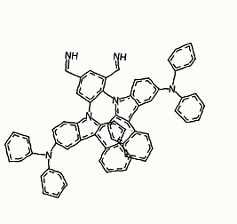 N=Cc1cc(C=N)c(-n2c3ccc(N(c4ccccc4)c4ccccc4)cc3c3c4ccccc4ccc32)c(-n2c3ccc(N(c4ccccc4)c4ccccc4)cc3c3c4ccccc4ccc32)c1